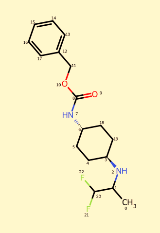 CC(N[C@H]1CC[C@H](NC(=O)OCc2ccccc2)CC1)C(F)F